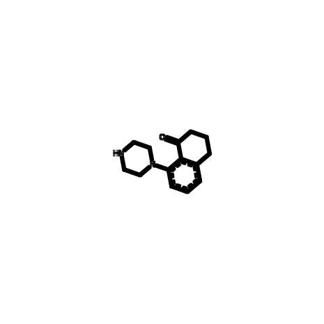 O=C1CCCc2cccc(N3CCNCC3)c21